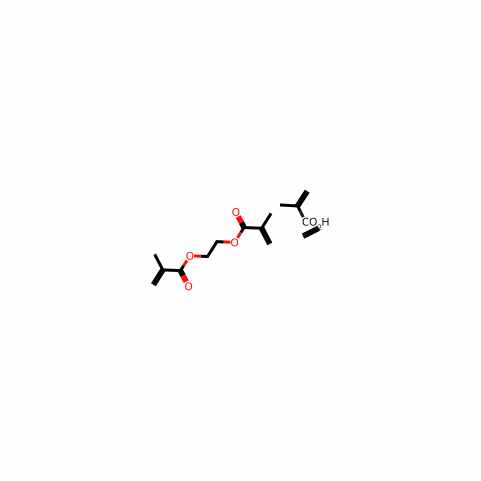 C=C.C=C(C)C(=O)O.C=C(C)C(=O)OCCOC(=O)C(=C)C